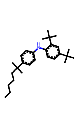 CCCCCC(C)(C)c1ccc(Nc2ccc(C(C)(C)C)cc2C(C)(C)C)cc1